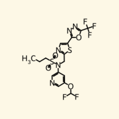 CCCS(=O)(=O)N(Cc1ncc(-c2nnc(C(F)(F)F)o2)s1)c1cncc(OC(F)F)c1